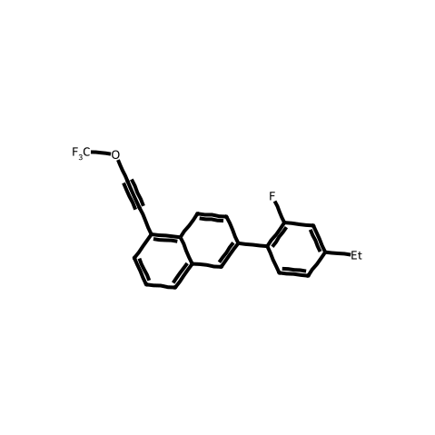 CCc1ccc(-c2ccc3c(C#COC(F)(F)F)cccc3c2)c(F)c1